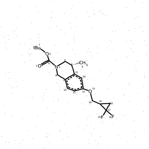 C[C@H]1CN(C(=O)OC(C)(C)C)Cc2ccc(OCC3CC3(F)F)cc21